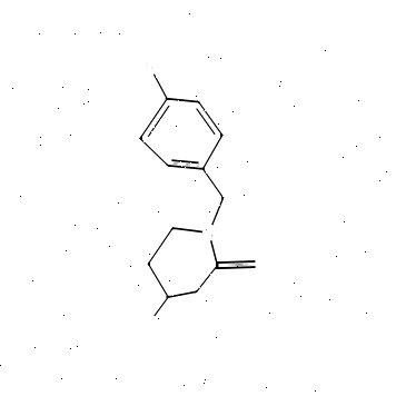 CC1CCN(Cc2ccc(N)cc2)C(=O)C1